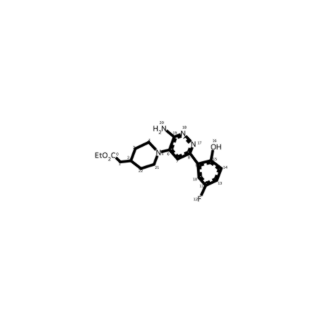 CCOC(=O)CC1CCN(c2cc(-c3cc(F)ccc3O)nnc2N)CC1